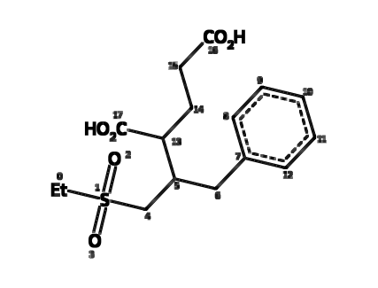 CCS(=O)(=O)CC(Cc1ccccc1)C(CCC(=O)O)C(=O)O